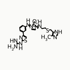 Cc1nc[nH]c1CSCCNN1C=CN(Nc2cccc(-c3csc(NC(=N)N)n3)c2)[S+]1[O-]